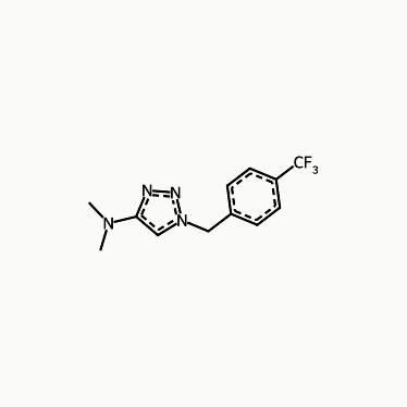 CN(C)c1cn(Cc2ccc(C(F)(F)F)cc2)nn1